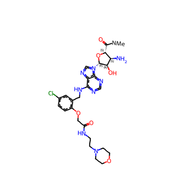 CNC(=O)[C@H]1O[C@@H](n2cnc3c(NCc4cc(Cl)ccc4OCC(=O)NCCN4CCOCC4)ncnc32)[C@H](O)[C@@H]1N